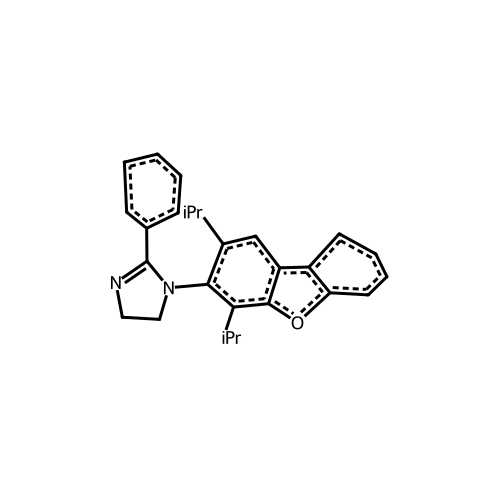 CC(C)c1cc2c(oc3ccccc32)c(C(C)C)c1N1CCN=C1c1ccccc1